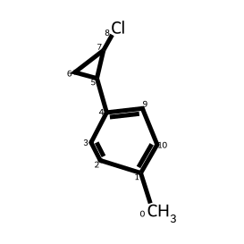 Cc1ccc(C2CC2Cl)cc1